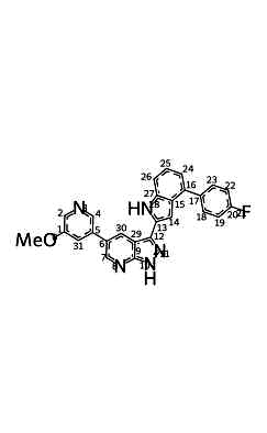 COc1cncc(-c2cnc3[nH]nc(-c4cc5c(-c6ccc(F)cc6)cccc5[nH]4)c3c2)c1